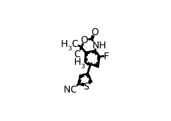 CC1(C)OC(=O)Nc2c(F)cc(-c3csc(C#N)c3)cc21